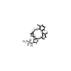 CS(=O)(=O)N[C@H]1CC[C@@]2(Cc3cc(c(F)cn3)-c3cccc(F)c3OCc3coc2n3)C1